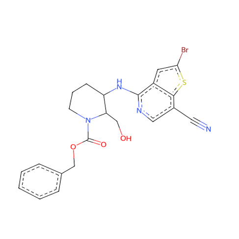 N#Cc1cnc(NC2CCCN(C(=O)OCc3ccccc3)C2CO)c2cc(Br)sc12